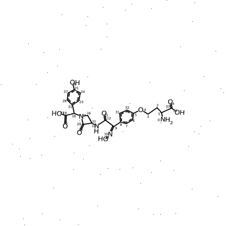 NC(CCOc1ccc(C(=NO)C(=O)NC2CN(C(C(=O)O)c3ccc(O)cc3)C2=O)cc1)C(=O)O